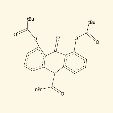 CCCC(=O)C1c2cccc(OC(=O)C(C)(C)C)c2C(=O)c2c(OC(=O)C(C)(C)C)cccc21